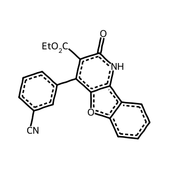 CCOC(=O)c1c(-c2cccc(C#N)c2)c2oc3ccccc3c2[nH]c1=O